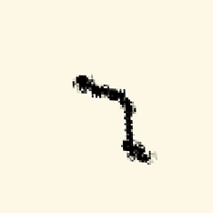 C[C@@H]1CN(C(=O)c2ccc(NC(=O)c3cc4c(nn3)N[C@H](c3c(Cl)ccc(F)c3Cl)O4)cc2)C[C@H](C)N1C(=O)CCCCCCCCCCc1cccc2c1C(=O)N(C1CCC(=O)NC1=O)C2=O